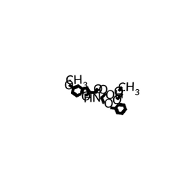 COCOc1ccccc1COCC(NC(=O)c1cc2cc(OC)ccc2o1)C(=O)O